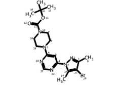 Cc1nn(-c2cc(N3CCN(C(=O)OC(C)(C)C)CC3)ncn2)c(C)c1Br